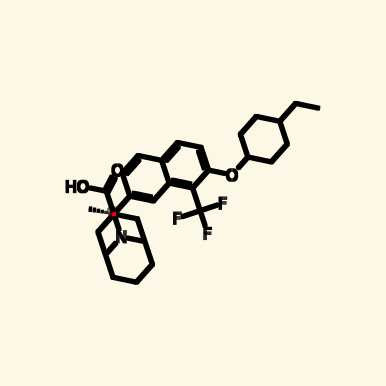 CCC1CCC(Oc2ccc3ccc([C@@H](C)N4C5CCCC4CC(C(=O)O)C5)cc3c2C(F)(F)F)CC1